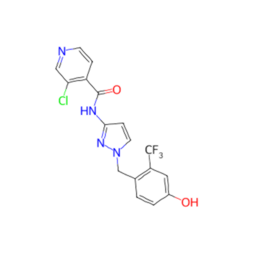 O=C(Nc1ccn(Cc2ccc(O)cc2C(F)(F)F)n1)c1ccncc1Cl